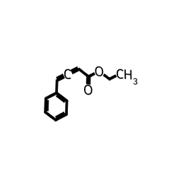 CCOC(=O)C=C=Cc1ccccc1